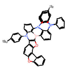 CC(C)(C)c1ccc(N2c3cccc4c3B(c3cccc(N(c5ccccc5)c5ccccc5)c32)c2oc3c(ccc5oc6ccccc6c53)c2N4c2ccc(C(C)(C)C)cc2)cc1